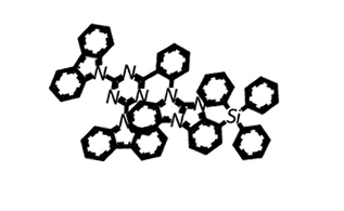 c1ccc([Si](c2ccccc2)(c2ccccc2)c2cccc3c2nc2n(-c4ccccc4-c4nc(-n5c6ccccc6c6ccccc65)nc(-n5c6ccccc6c6ccccc65)n4)c4ccccc4n32)cc1